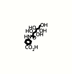 O=C(O)c1ccc(NC(=O)C(O)C(O)C(O)C(O)CO)cc1